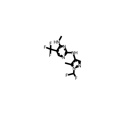 CNc1nc(Nc2cnn(C(F)F)c2C)ncc1C(F)(F)F